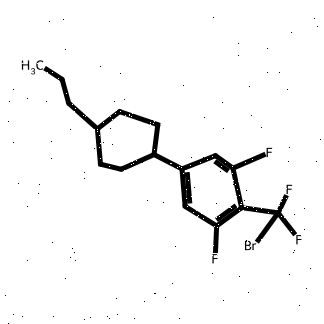 CCCC1CCC(c2cc(F)c(C(F)(F)Br)c(F)c2)CC1